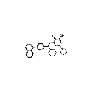 O=C(O)C(=O)N(CCN1CCCC1)CC(c1ccc(-c2cccc3ccccc23)cc1)C1CCCCC1